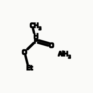 CCO[PH](C)=O.[AlH3]